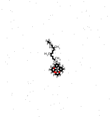 CC(C)CCCC(C)CCCC(C)CC[NH2+]CC(F)(F)F.Fc1c(F)c(F)c([B-](c2c(F)c(F)c(F)c(F)c2F)(c2c(F)c(F)c(F)c(F)c2F)c2c(F)c(F)c(F)c(F)c2F)c(F)c1F